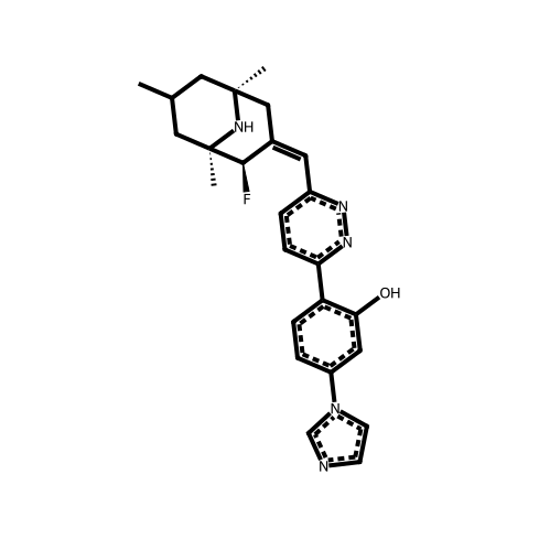 CC1C[C@@]2(C)C/C(=C/c3ccc(-c4ccc(-n5ccnc5)cc4O)nn3)[C@@H](F)[C@@](C)(C1)N2